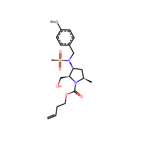 C=CCCOC(=O)N1[C@H](C)C[C@H](N(Cc2ccc(OC)cc2)S(C)(=O)=O)[C@@H]1CO